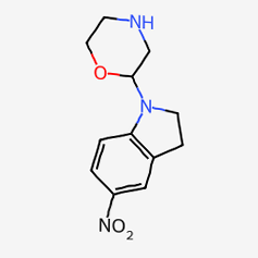 O=[N+]([O-])c1ccc2c(c1)CCN2C1CNCCO1